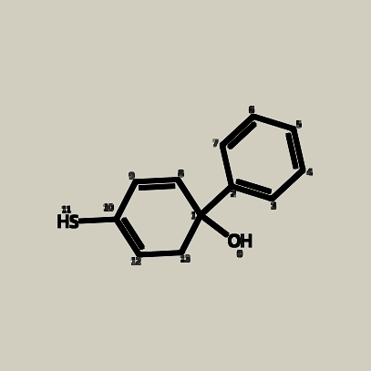 OC1(c2ccccc2)C=CC(S)=CC1